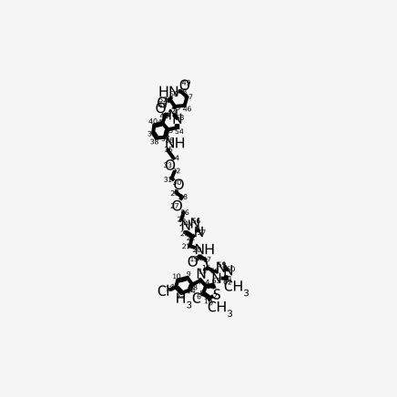 Cc1sc2c(c1C)C(c1ccc(Cl)cc1)=N[C@@H](CC(=O)NCc1cn(CCOCCOCCOCCNc3cccc4c(=O)n(C5CCC(=O)NC5=O)ncc34)nn1)c1nnc(C)n1-2